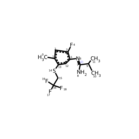 Cc1cc(F)c(/N=C(\N)C(C)C)cc1SCC(F)(F)F